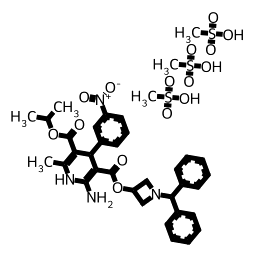 CC1=C(C(=O)OC(C)C)C(c2cccc([N+](=O)[O-])c2)C(C(=O)OC2CN(C(c3ccccc3)c3ccccc3)C2)=C(N)N1.CS(=O)(=O)O.CS(=O)(=O)O.CS(=O)(=O)O